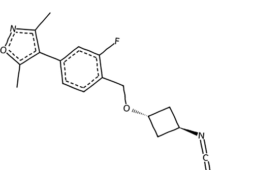 Cc1noc(C)c1-c1ccc(CO[C@H]2C[C@H](N=C=S)C2)c(F)c1